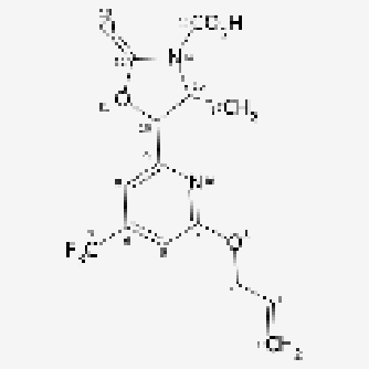 C=CCOc1cc(C(F)(F)F)cc(C2OC(=O)N(C(=O)O)C2C)n1